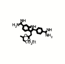 CCOC(=O)CC(C)OC(=O)Cc1c(-c2ccc(C(=N)N)cc2)[nH]c2cc(C(=N)N)ccc12